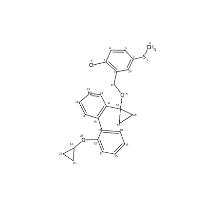 CSc1ccc(Cl)c(COC2(c3cnccc3-c3ccccc3OC3CC3)CC2)c1